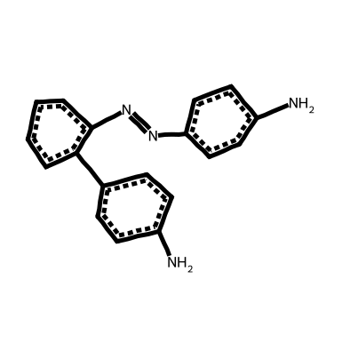 Nc1ccc(N=Nc2ccccc2-c2ccc(N)cc2)cc1